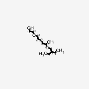 CCC(CC)COC(O)COCCOCCO